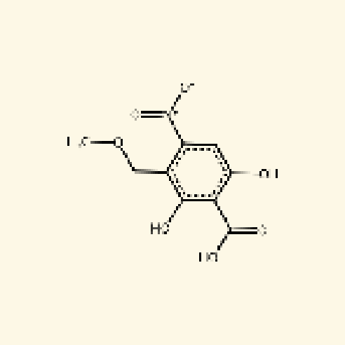 COCc1c([N+](=O)[O-])cc(O)c(C(=O)O)c1O